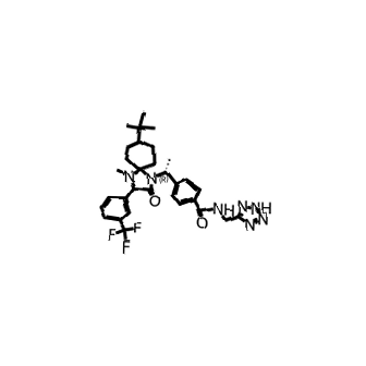 C[C@H](c1ccc(C(=O)NCc2nn[nH]n2)cc1)N1C(=O)C(c2cccc(C(F)(F)F)c2)N(C)C12CCC(C(C)(C)C)CC2